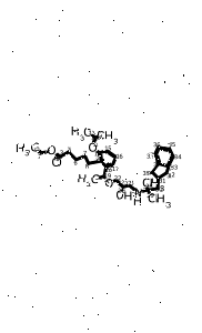 CCOC(=O)CCCCc1c(OC(C)C)cccc1C(C)OC[C@H](O)CNC(C)(C)CC1Cc2ccccc2C1